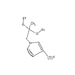 CCOC(C)(Cn1ccc(C(=O)O)c1)OCC